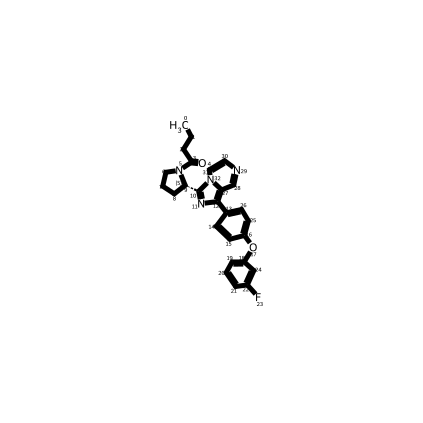 CC[CH]C(=O)N1CCC[C@H]1c1nc(-c2ccc(Oc3cccc(F)c3)cc2)c2cnccn12